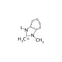 C[C@H]1N(C)c2ccccc2N1I